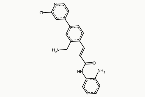 NCc1cc(-c2ccnc(Cl)c2)ccc1C=CC(=O)Nc1ccccc1N